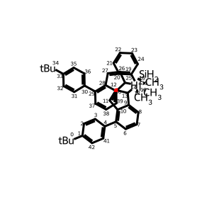 CC(C)(C)c1ccc(-c2cccc3c2C=C[CH]3[Hf]([CH3])([CH3])([CH3])(=[SiH2])([c]2ccccc2)[CH]2C=Cc3c(-c4ccc(C(C)(C)C)cc4)cccc32)cc1